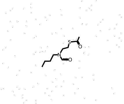 CCCCN(C=O)CCSC(C)=O